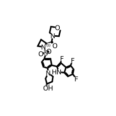 O=C([C@@H]1CCN1S(=O)(=O)c1ccc(N2CC[C@H](O)C2)c(-c2[nH]c3cc(F)cc(F)c3c2F)c1)N1CCOCC1